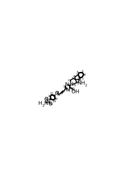 N[C@@H]1c2ccccc2CC12CCN(c1ncc(C#CCOc3ccc(S(N)(=O)=O)cc3)nc1CO)CC2